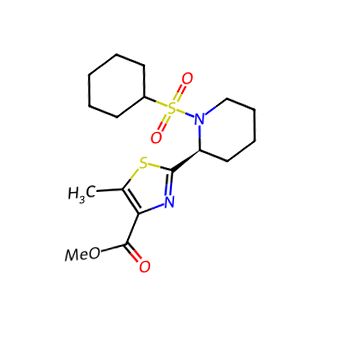 COC(=O)c1nc([C@@H]2CCCCN2S(=O)(=O)C2CCCCC2)sc1C